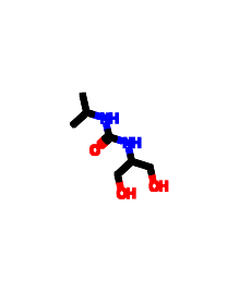 CC(C)NC(=O)NC(CO)CO